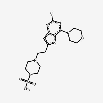 CS(=O)(=O)N1CCN(CCc2cc3nc(Cl)nc(N4CCOCC4)c3s2)CC1